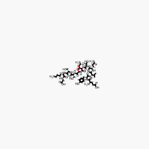 CC(C)[C@H](NC(=O)[C@H](Cc1ccc(O)cc1)NC(=O)[C@@H](N)CCC(=O)O)C(=O)N[C@@H](CCC(N)=O)C(=O)N[C@H](C(=O)N[C@H](C(=O)N[C@@H](CCCCN)C(=O)N[C@@H](CO)C(=O)N[C@@H](CO)C(=O)N[C@@H](CCCCN)C(=O)NCC(=O)O)C(C)C)[C@@H](C)O